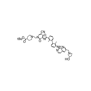 Cc1c(Nc2nccc3cc(CN4CC[C@@H](O)C4)cnc23)cccc1-c1cccc(-c2nc3c(=O)n(CCN4CCC(C(=O)OC(C)(C)C)CC4)cc(C#N)c3o2)c1C